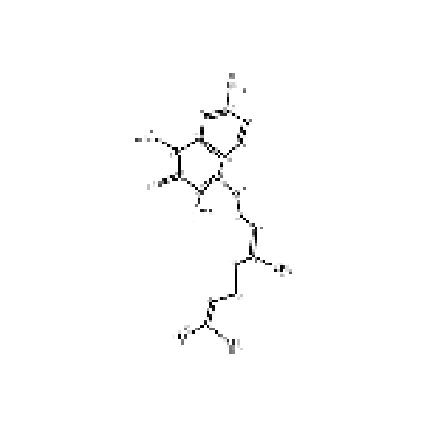 CCCCCCn1c(=O)c(OC)c(OCC=C(C)CCC=C(C)C)c2ccc([N+](=O)[O-])cc21